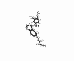 O=C(COc1ccc2ncnc(Nc3ccc(F)c(Cl)c3)c2c1)NO